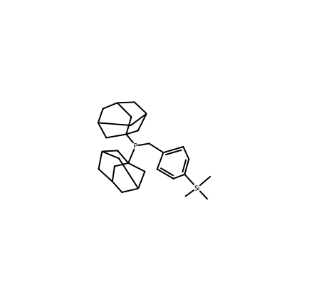 C[Si](C)(C)c1ccc(CP(C23CC4CC(CC(C4)C2)C3)C23CC4CC(CC(C4)C2)C3)cc1